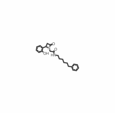 O=C(CN1C(=O)CC1c1ccccc1O)NCCCCCCc1ccccc1